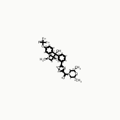 C[C@@H]1CN(C(=O)c2noc(-c3cccc([C@@](O)(c4ccc(OC(F)(F)F)cc4)C4(C)CN(C)C4)c3)n2)C[C@H](C)O1